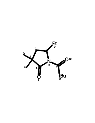 CCC1CC(C)(C)C(=O)N1C(=O)C(C)(C)C